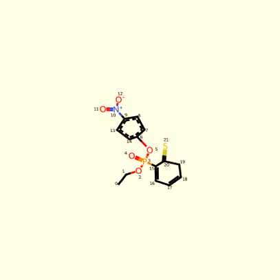 CCOP(=O)(Oc1ccc([N+](=O)[O-])cc1)C1=CC=CCC1=S